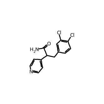 NC(=O)C(Cc1ccc(Cl)c(Cl)c1)c1ccncc1